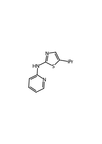 CC(C)c1cnc(Nc2ccccn2)s1